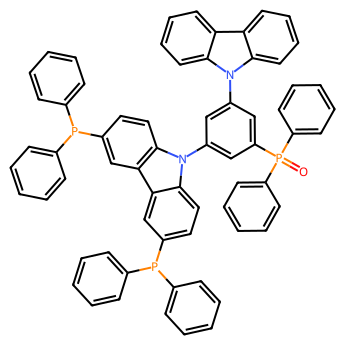 O=P(c1ccccc1)(c1ccccc1)c1cc(-n2c3ccccc3c3ccccc32)cc(-n2c3ccc(P(c4ccccc4)c4ccccc4)cc3c3cc(P(c4ccccc4)c4ccccc4)ccc32)c1